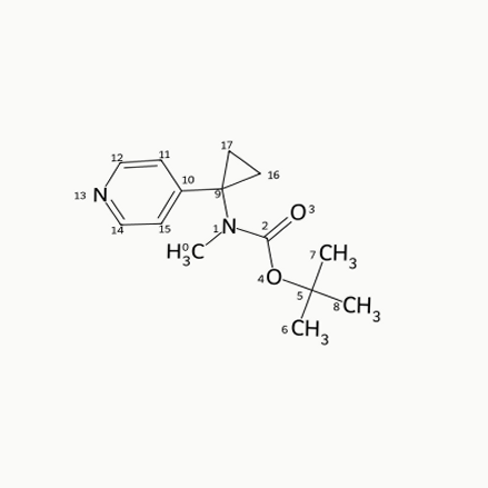 CN(C(=O)OC(C)(C)C)C1(c2ccncc2)CC1